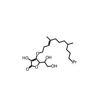 C/C(=C\CCOC1=C(O)C(=O)OC1C(O)CO)CCCC(C)CCCC(C)C